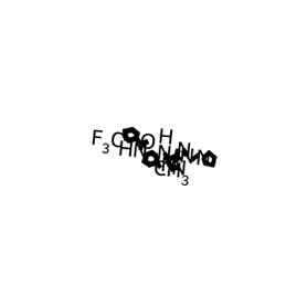 Cc1ccc(NC(=O)c2cccc(C(F)(F)F)c2)cc1Nc1ncnc2c1cnn2CCN1CCCC1